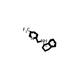 FC(F)(F)c1ccc(CN[C@H]2CCCc3ccccc32)nc1